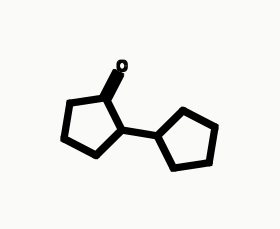 O=C1CCCC1C1CCCC1